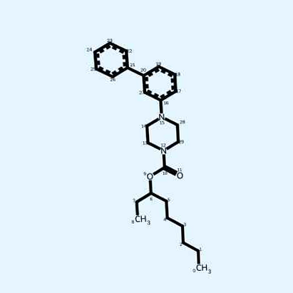 CCCCCCC(CC)OC(=O)N1CCN(c2cccc(-c3ccccc3)c2)CC1